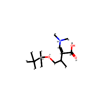 CC(CO[Si](C)(C)C(C)(C)C)C(=CN(C)C)C(=O)O